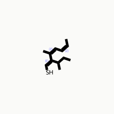 C\C=C/C=C(C)\C(=C\S)C(C)CC